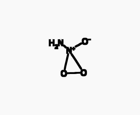 N[N+]1([O-])OO1